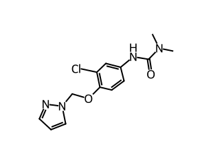 CN(C)C(=O)Nc1ccc(OCn2cccn2)c(Cl)c1